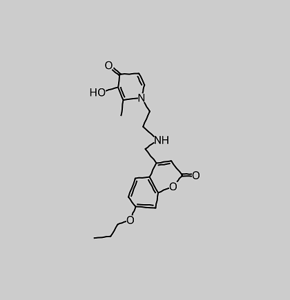 CCCOc1ccc2c(CNCCn3ccc(=O)c(O)c3C)cc(=O)oc2c1